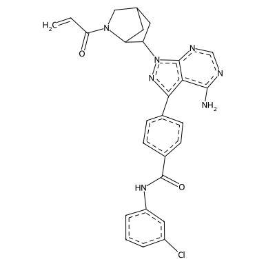 C=CC(=O)N1CC2CC1C(n1nc(-c3ccc(C(=O)Nc4cccc(Cl)c4)cc3)c3c(N)ncnc31)C2